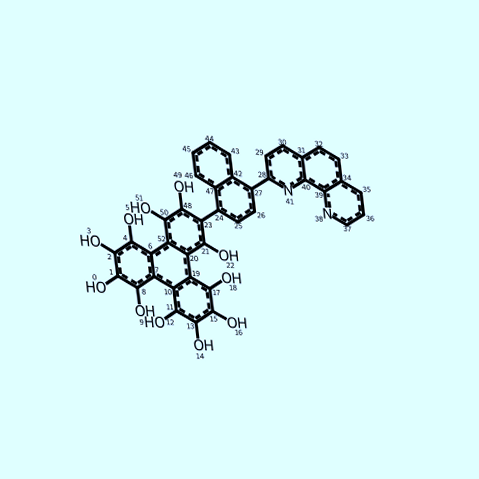 Oc1c(O)c(O)c2c(c1O)c1c(O)c(O)c(O)c(O)c1c1c(O)c(-c3ccc(-c4ccc5ccc6cccnc6c5n4)c4ccccc34)c(O)c(O)c21